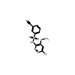 COc1cc(Cl)nnc1NS(=O)(=O)c1cccc(C#N)c1